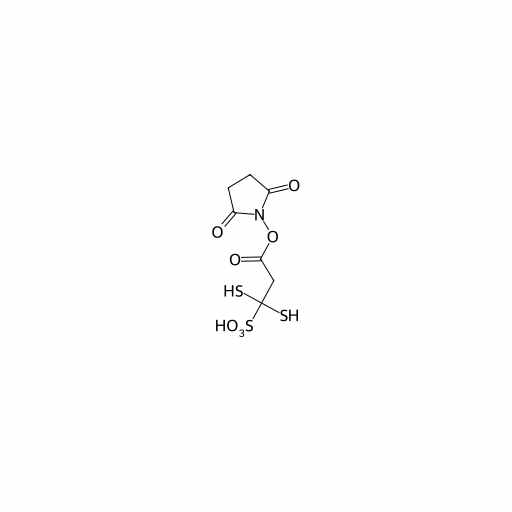 O=C(CC(S)(S)S(=O)(=O)O)ON1C(=O)CCC1=O